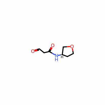 O=CCC(=O)N[C@@H]1CCOC1